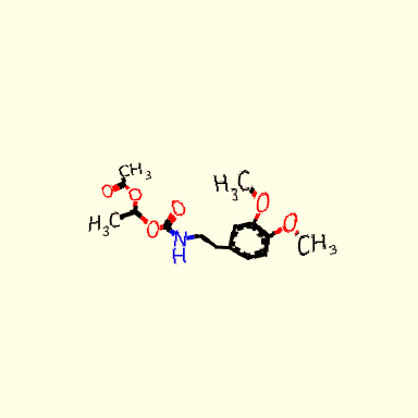 COc1ccc(CCNC(=O)OC(C)OC(C)=O)cc1OC